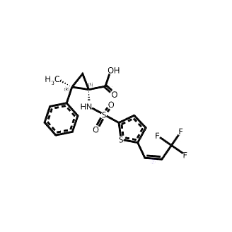 C[C@]1(c2ccccc2)C[C@@]1(NS(=O)(=O)c1ccc(/C=C\C(F)(F)F)s1)C(=O)O